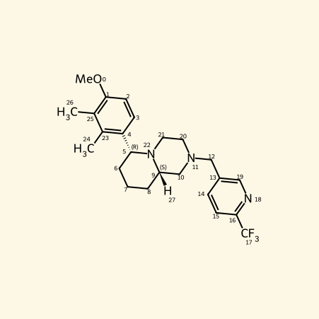 COc1ccc([C@H]2CCC[C@H]3CN(Cc4ccc(C(F)(F)F)nc4)CCN32)c(C)c1C